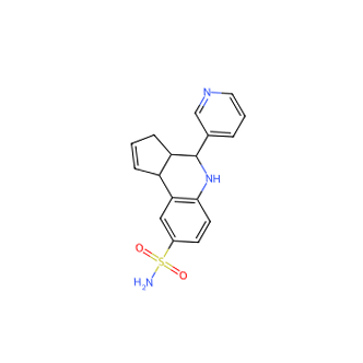 NS(=O)(=O)c1ccc2c(c1)C1C=CCC1C(c1cccnc1)N2